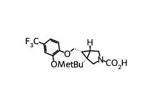 COc1cc(C(F)(F)F)ccc1OC[C@@H]1[C@@H]2CN(C(=O)O)C[C@@]12C(C)(C)C